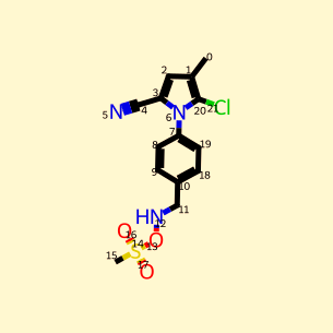 Cc1cc(C#N)n(-c2ccc(CNOS(C)(=O)=O)cc2)c1Cl